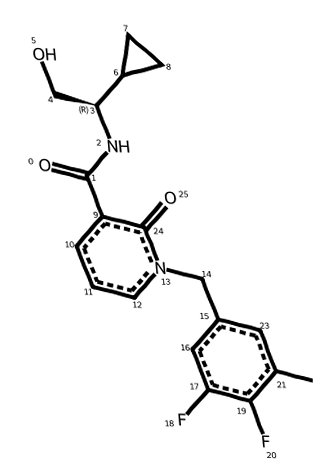 O=C(N[C@@H](CO)C1CC1)c1cccn(Cc2cc(F)c(F)c(F)c2)c1=O